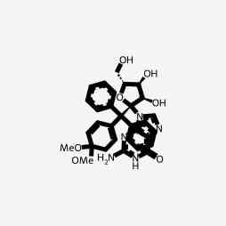 COC1(OC)C=CC(C(c2ccccc2)(c2ccccc2)[C@@]2(n3cnc4c(=O)[nH]c(N)nc43)O[C@H](CO)[C@@H](O)[C@H]2O)=CC1